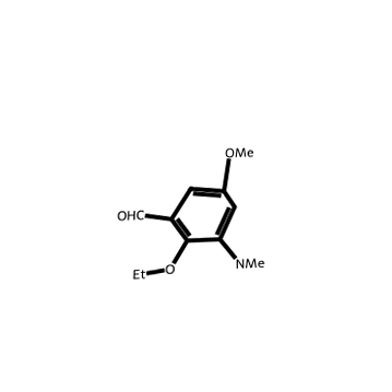 CCOc1c(C=O)cc(OC)cc1NC